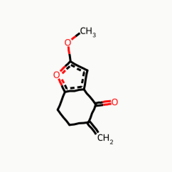 C=C1CCc2oc(OC)cc2C1=O